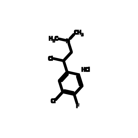 CN(C)CC(Cl)c1ccc(F)c(Cl)c1.Cl